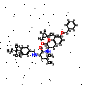 CC(C)CC(NCc1ccc(C(C)(C)C)cc1)C(=O)NC(Cc1ccc(OCc2ccccc2)cc1)C(=O)OC(C)(C)C